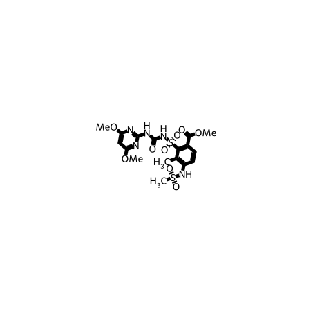 COC(=O)c1ccc(NS(C)(=O)=O)c(C)c1S(=O)(=O)NC(=O)Nc1nc(OC)cc(OC)n1